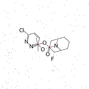 CC(C)(C)OC(=O)N1C2CCCC1[C@H](F)[C@H](Oc1ccc(Cl)nn1)C2